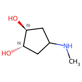 CNC1C[C@H](O)[C@@H](O)C1